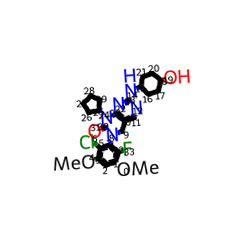 COc1cc(OC)c(Cl)c(N2Cc3cnc(NC4CCC(O)CC4)nc3N(C3CCCC3)C2=O)c1F